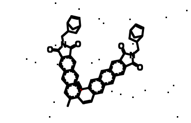 C=Cc1cc2cc3cc4c(cc3cc2cc1/C=C\c1cc2cc3cc5c(cc3cc2cc1C)C(=O)N(CC1CC2C=CC1C2)C5=O)C(=O)N(CC1CC2C=CC1C2)C4=O